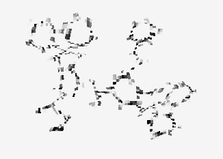 CC(C)(C)OC(=O)c1cc(OC(=O)c2cc(OCc3ccccc3)c3c(c2)OC(c2ccccc2)(c2ccccc2)O3)c2c(c1)OC(c1ccccc1)(c1ccccc1)O2